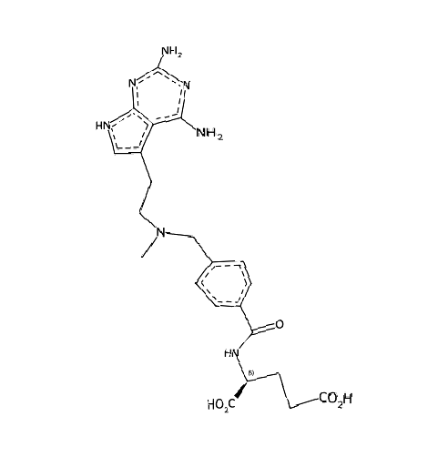 CN(CCc1c[nH]c2nc(N)nc(N)c12)Cc1ccc(C(=O)N[C@@H](CCC(=O)O)C(=O)O)cc1